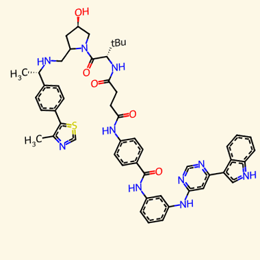 Cc1ncsc1-c1ccc([C@H](C)NCC2C[C@@H](O)CN2C(=O)[C@@H](NC(=O)CCC(=O)Nc2ccc(C(=O)Nc3cccc(Nc4cc(-c5c[nH]c6ccccc56)ncn4)c3)cc2)C(C)(C)C)cc1